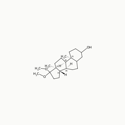 COC1(OC)CC[C@H]2[C@@H]3CCC4CC(O)CC[C@]4(C)[C@@H]3CC[C@@]21C